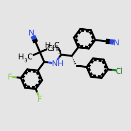 C[C@H](NC(c1cc(F)cc(F)c1)C(C)(C)C#N)[C@@H](Cc1ccc(Cl)cc1)c1cccc(C#N)c1